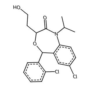 CC(C)N1C(=O)C(CCO)OC(c2ccccc2Cl)c2cc(Cl)ccc21